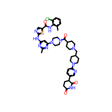 Cc1nc(Nc2ncc(C(=O)Nc3c(C)cccc3Cl)s2)cc(N2CCN(C(=O)C3CCN(CC4CCN(c5ccc(C6CCC(=O)NC6=O)cn5)CC4)CC3)CC2)n1